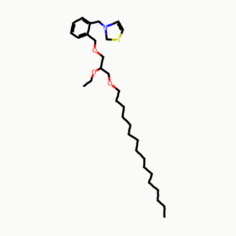 CCCCCCCCCCCCCCCCOCC(COCc1ccccc1CN1C=CSC1)OCC